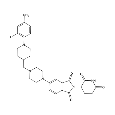 Nc1ccc(N2CCC(CN3CCN(c4ccc5c(c4)C(=O)N(C4CCC(=O)NC4=O)C5=O)CC3)CC2)c(F)c1